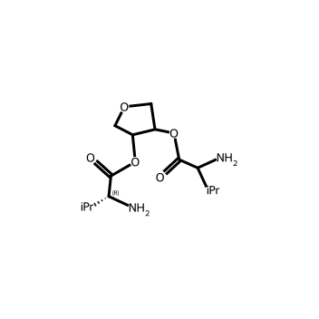 CC(C)C(N)C(=O)OC1COCC1OC(=O)[C@H](N)C(C)C